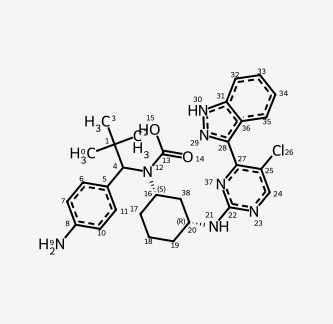 CC(C)(C)C(c1ccc(N)cc1)N(C(=O)O)[C@H]1CCC[C@@H](Nc2ncc(Cl)c(-c3n[nH]c4ccccc34)n2)C1